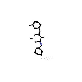 COc1cccc(/C=C2\CN(C)C/C(=C\c3cccc(C)c3)C2=O)c1